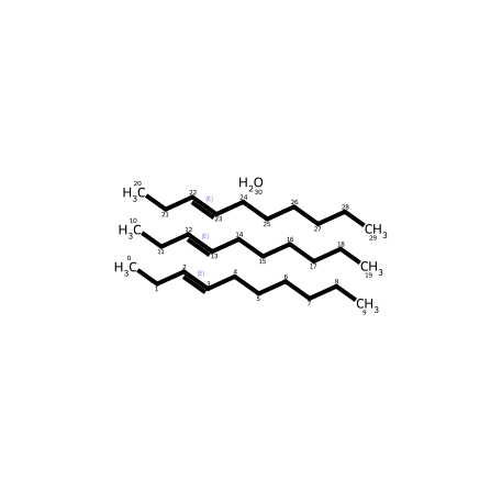 CC/C=C/CCCCCC.CC/C=C/CCCCCC.CC/C=C/CCCCCC.O